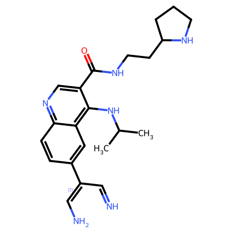 CC(C)Nc1c(C(=O)NCCC2CCCN2)cnc2ccc(/C(C=N)=C/N)cc12